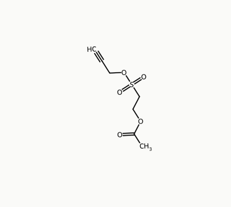 C#CCOS(=O)(=O)CCOC(C)=O